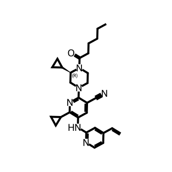 C=Cc1ccnc(Nc2cc(C#N)c(N3CCN(C(=O)CCCCC)[C@H](C4CC4)C3)nc2C2CC2)c1